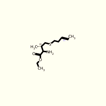 C/C=C/CCSC[C@@H](C)C(N)C(=O)OCC